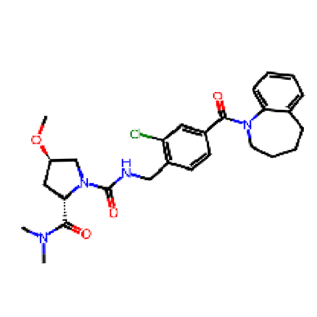 CO[C@@H]1C[C@@H](C(=O)N(C)C)N(C(=O)NCc2ccc(C(=O)N3CCCCc4ccccc43)cc2Cl)C1